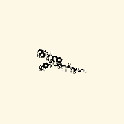 CCOC(=O)CNC(=O)NCCCC(C)(C)CN(C[C@@H](O)[C@H](Cc1ccccc1)NC(=O)O[C@H]1CO[C@H]2OCC[C@H]21)S(=O)(=O)c1ccc(OC)cc1